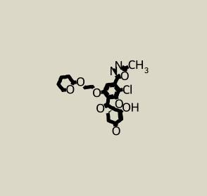 Cc1nnc(-c2cc(OCCOC3CCCCO3)c3c(c2Cl)O[C@]2(CCC(=O)C=C2O)C3=O)o1